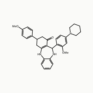 COc1ccc(C2CC(=O)C3=C(C2)Nc2ccccc2NC3c2ccc(N3CCCCC3)cc2OC)cc1